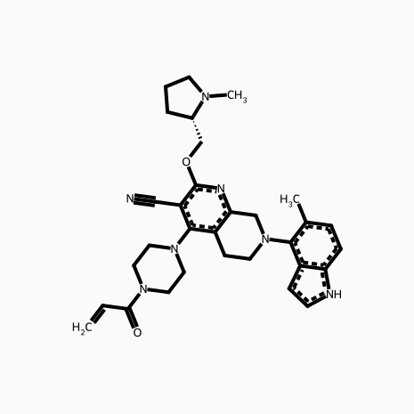 C=CC(=O)N1CCN(c2c(C#N)c(OC[C@@H]3CCCN3C)nc3c2CCN(c2c(C)ccc4[nH]ccc24)C3)CC1